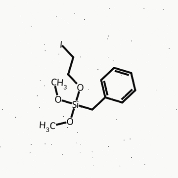 CO[Si](Cc1ccccc1)(OC)OCCI